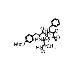 CCN[C@@H](C)C(=O)N[C@@H](Cc1ccc(OC)cc1)C(=O)N[C@@H](Cc1ccccc1)C(=O)[C@@]1(C)CO1